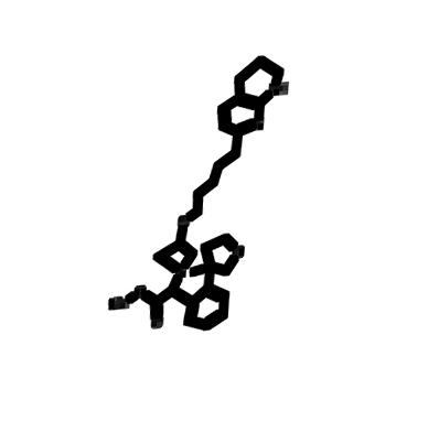 CC(C)(C)OC(=O)C(c1ccccc1C1(C)CCOC1)N1CC(OCCCCCc2ccc3c(n2)NCCC3)C1